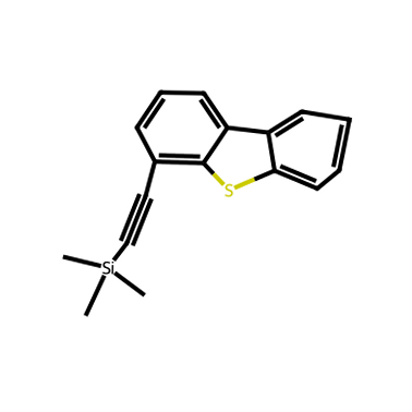 C[Si](C)(C)C#Cc1cccc2c1sc1ccccc12